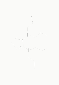 CCCP(CCC)c1cscc1P(CCC)CCC